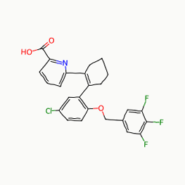 O=C(O)c1cccc(C2=C(c3cc(Cl)ccc3OCc3cc(F)c(F)c(F)c3)CCCC2)n1